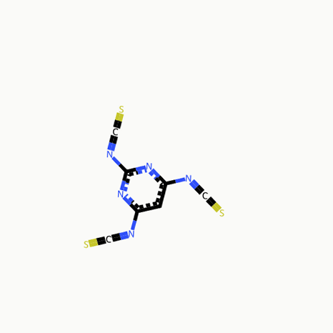 S=C=Nc1cc(N=C=S)nc(N=C=S)n1